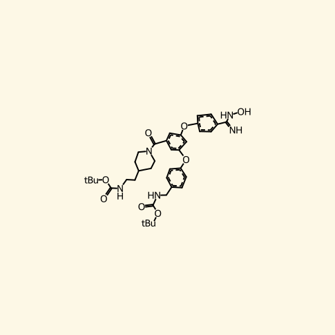 CC(C)(C)OC(=O)NCCC1CCN(C(=O)c2cc(Oc3ccc(CNC(=O)OC(C)(C)C)cc3)cc(Oc3ccc(C(=N)NO)cc3)c2)CC1